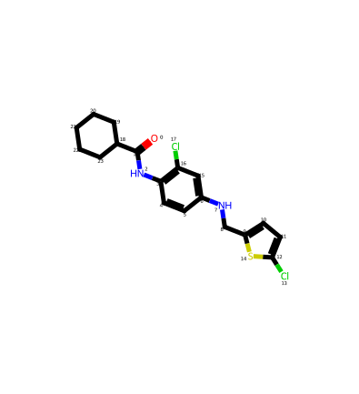 O=C(Nc1ccc(NCc2ccc(Cl)s2)cc1Cl)C1CCCCC1